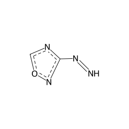 N=Nc1ncon1